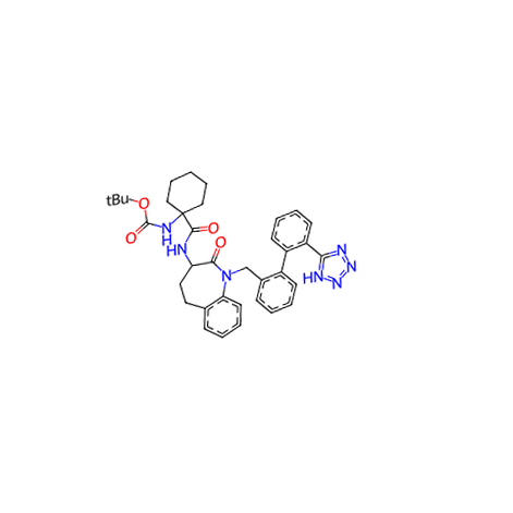 CC(C)(C)OC(=O)NC1(C(=O)NC2CCc3ccccc3N(Cc3ccccc3-c3ccccc3-c3nnn[nH]3)C2=O)CCCCC1